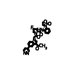 CC(=O)c1cn(CC(=O)N2C[C@H](F)CC2C(=O)Nc2ccccc2N2CCOC2=O)c2ccc(-c3ccnnc3)cc12